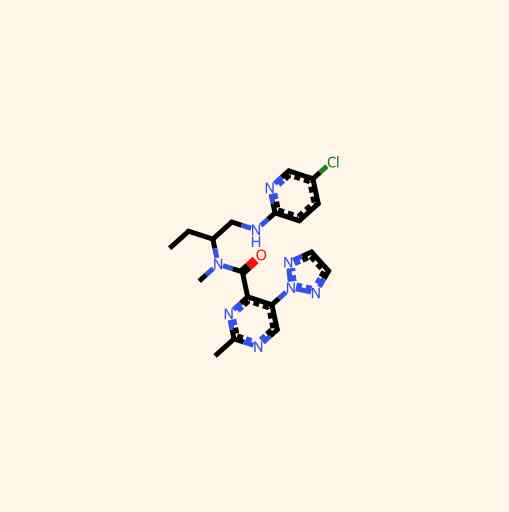 CCC(CNc1ccc(Cl)cn1)N(C)C(=O)c1nc(C)ncc1-n1nccn1